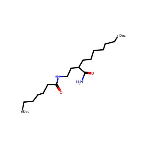 CCCCCCCCCCCCCCCCC(CCNC(=O)CCCCCCCCCCCCCCC)C(N)=O